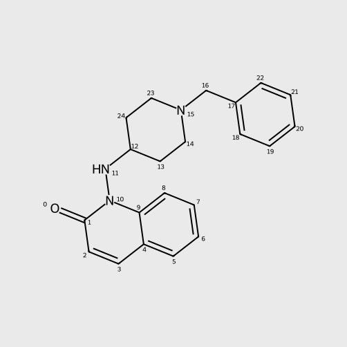 O=c1ccc2ccccc2n1NC1CCN(Cc2ccccc2)CC1